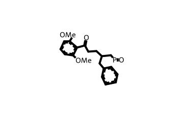 COc1cccc(OC)c1C(=O)CCC(CP=O)Cc1ccccc1